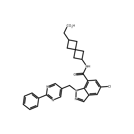 O=C(O)CC1CC2(C1)CC(NC(=O)c1cc(Cl)cc3cnn(Cc4cnc(-c5ccccc5)nc4)c13)C2